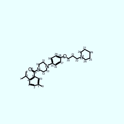 Cc1ccc(C(C)C)c(C(=O)N2CCN(c3ccc(OCCCN4CCCCC4)cc3)CC2)c1